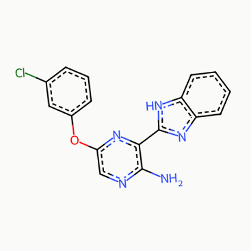 Nc1ncc(Oc2cccc(Cl)c2)nc1-c1nc2ccccc2[nH]1